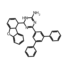 NC1=NC(c2cc(-c3ccccc3)cc(-c3ccccc3)c2)=NC(C2C=CC=C3Oc4ccccc4C32)N1